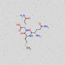 CSCC[C@H](NC(=O)[C@@H](N)CCC(N)=O)C(=O)N[C@@H](CCC(N)=O)C(=O)O